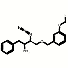 [N-]=[N+]=N[C@@H](COCc1cccc(OCF)c1)C(N)Cc1ccccc1